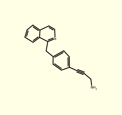 NCC#Cc1ccc(Cc2nccc3ccccc23)cc1